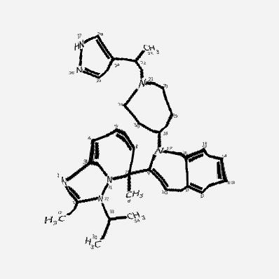 CC1=NC2=CC=CC(C)(c3cc4ccccc4n3C3CCN(C(C)c4cn[nH]c4)CC3)N2N1C(C)C